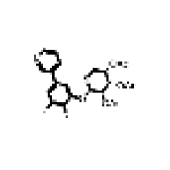 CC(=O)O[C@@H]1[C@@H](OC(C)=O)[C@@H](Oc2cc(-c3cccnc3)cc(F)c2F)SC[C@H]1OC(C)=O